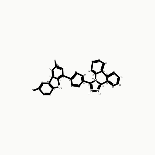 Cc1ccc2sc3c(-c4ccc(-c5nnc6c7ccccc7c7ccccc7n56)cc4)cc(C)cc3c2c1